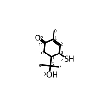 CC1=CC(S)C(C(C)(C)O)CC1=O